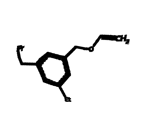 C=COCc1cc(CC)cc(CC(C)C)c1